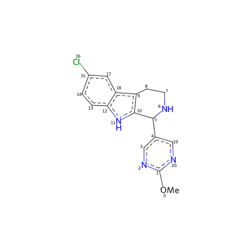 COc1ncc(C2NCCc3c2[nH]c2ccc(Cl)cc32)cn1